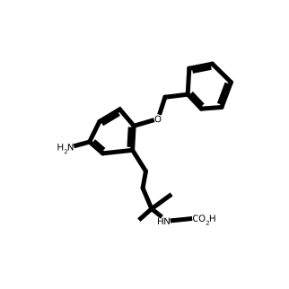 CC(C)(CCc1cc(N)ccc1OCc1ccccc1)NC(=O)O